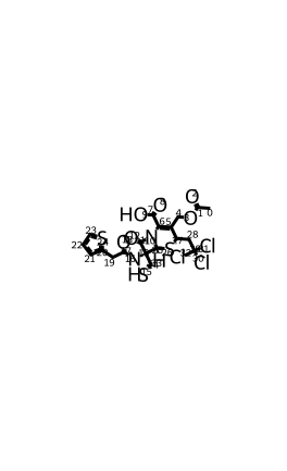 CC(=O)OCC1=C(C(=O)O)N2C(=O)[C@](C=S)(NC(=O)Cc3cccs3)[C@H]2SC1CC(Cl)(Cl)Cl